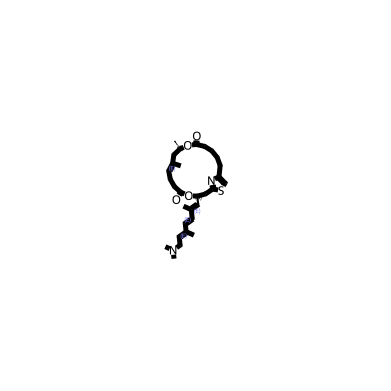 CC(/C=C/C(C)=C/[C@@H]1Cc2nc(cs2)CCCCC(=O)O[C@@H](C)C/C(C)=C/CCC(=O)O1)=C\CN(C)C